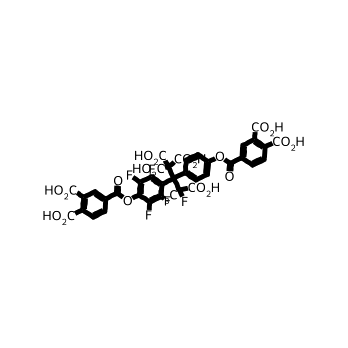 O=C(Oc1ccc(C(c2c(F)c(F)c(OC(=O)c3ccc(C(=O)O)c(C(=O)O)c3)c(F)c2F)(C(C(=O)O)(C(=O)O)C(=O)O)C(F)(C(=O)O)C(F)(F)F)cc1)c1ccc(C(=O)O)c(C(=O)O)c1